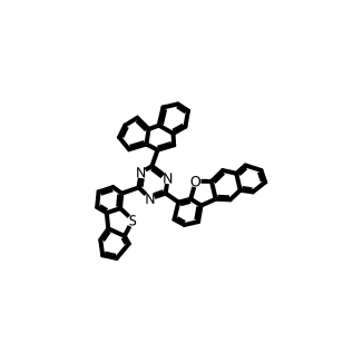 c1ccc2cc3c(cc2c1)oc1c(-c2nc(-c4cc5ccccc5c5ccccc45)nc(-c4cccc5c4sc4ccccc45)n2)cccc13